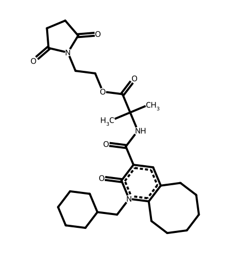 CC(C)(NC(=O)c1cc2c(n(CC3CCCCC3)c1=O)CCCCCC2)C(=O)OCCN1C(=O)CCC1=O